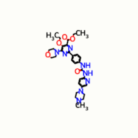 CCOC(=O)c1nc(-c2ccc(NC(=O)Nc3ccc(N4CCN(C)CC4)cn3)cc2)nc(N2CCOCC2)c1OCC